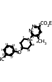 CCOC(=O)c1cc(C)c(N2CCC(Oc3cccc(C#N)c3)CC2)nn1